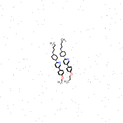 CCCCC[C@H]1CC[C@H](c2ccc(-c3ccc(OCC)cc3)cn2)CC1.CCCCC[C@H]1CC[C@H](c2ccc(-c3ccc(OCCC)cc3)cn2)CC1